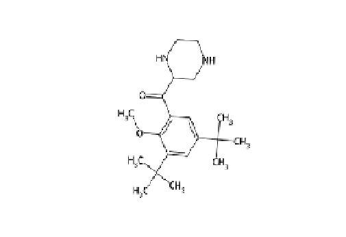 COc1c(C(=O)C2CNCCN2)cc(C(C)(C)C)cc1C(C)(C)C